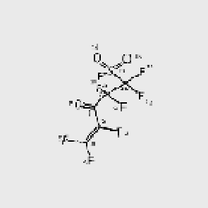 O=C(C(F)=C(F)F)C(F)(F)C(F)(F)S(=O)(=O)F